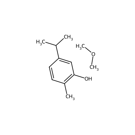 COC.Cc1ccc(C(C)C)cc1O